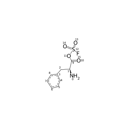 N[C@@H](Cc1ccccc1)C(=O)OS(=O)(=O)F